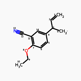 [CH2]C(C=C)c1ccc(OCC)c(C#N)c1